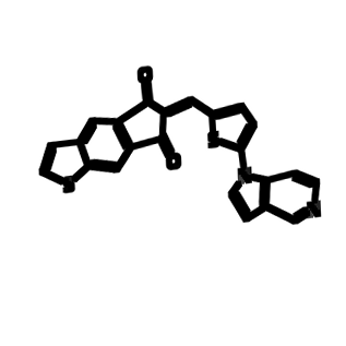 O=C1/C(=C/c2ccc(-n3ccc4cnccc43)s2)C(=O)c2cc3sccc3cc21